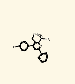 CC(C)c1nc(-c2ccccc2)cc(-c2ccc(F)cc2)c1CO